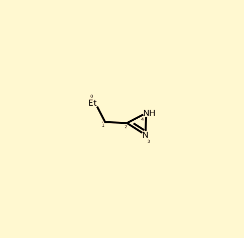 [CH2]C[CH]C1=NN1